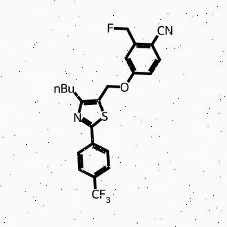 CCCCc1nc(-c2ccc(C(F)(F)F)cc2)sc1COc1ccc(C#N)c(CF)c1